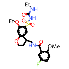 CCNC(=O)NS(=O)(=O)c1cc2c(cc1OCC)OCCC2CNC(=O)c1cc(F)ccc1OC